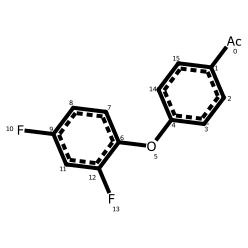 CC(=O)c1c[c]c(Oc2ccc(F)cc2F)cc1